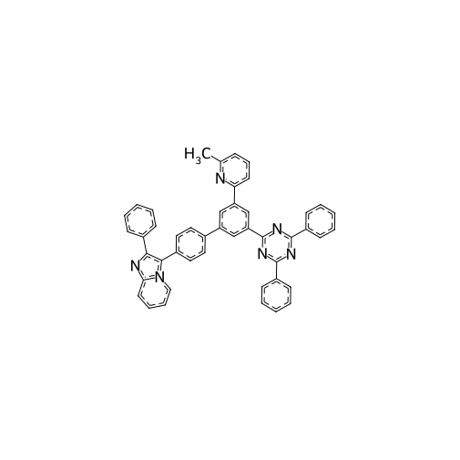 Cc1cccc(-c2cc(-c3ccc(-c4c(-c5ccccc5)nc5ccccn45)cc3)cc(-c3nc(-c4ccccc4)nc(-c4ccccc4)n3)c2)n1